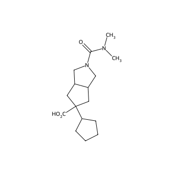 CN(C)C(=O)N1CC2CC(C(=O)O)(C3CCCC3)CC2C1